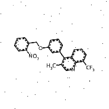 Cc1cnc2c(C(F)(F)F)cccc2c1-c1cccc(OCc2ccccc2[N+](=O)[O-])c1